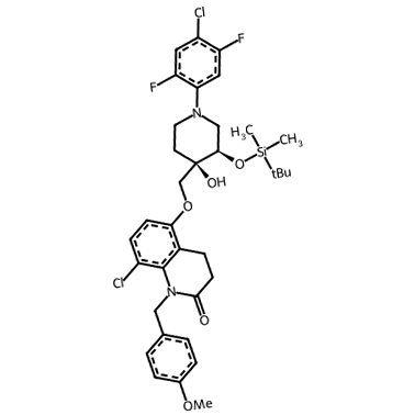 COc1ccc(CN2C(=O)CCc3c(OC[C@]4(O)CCN(c5cc(F)c(Cl)cc5F)C[C@H]4O[Si](C)(C)C(C)(C)C)ccc(Cl)c32)cc1